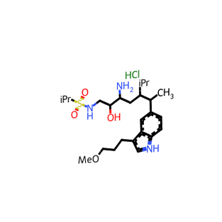 COCCCc1c[nH]c2ccc(C(C)C(CC(N)C(O)CNS(=O)(=O)C(C)C)C(C)C)cc12.Cl